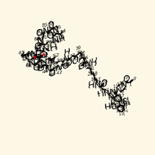 C=CC(=O)N1CCN(c2nc(NCCC(=O)NCCCCCCNC(=O)CCC[C@@H](C)[C@@H](O)CC(=O)N[C@@H](CC)C(=O)N(C)CC(=O)N(C)[C@@H](CC(C)C)C(=O)NC(C(=O)N(C)[C@@H](CC(C)C)C(=O)N[C@@H](C)C(=O)N[C@H](C)C(=O)N(C)CC(=O)N(C)CC(=O)N(C)C(C(=O)NC)C(C)C)C(C)C)nc3c(F)c(-c4c(O)cccc4F)c(Cl)cc23)CC1